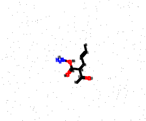 CC=CCC(C(C)=O)C(=O)ON